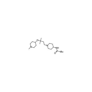 CN1CCC(OC(C)(C)CCN2CCC(NC(=O)C(C)(C)C)CC2)CC1